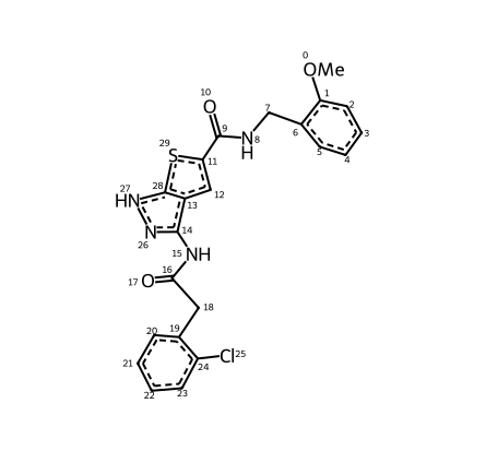 COc1ccccc1CNC(=O)c1cc2c(NC(=O)Cc3ccccc3Cl)n[nH]c2s1